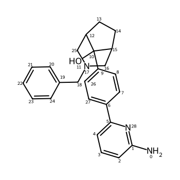 Nc1cccc(-c2ccc(C3(O)C4CCC3CN(Cc3ccccc3)C4)cc2)n1